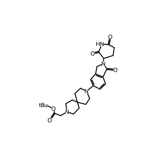 CC(C)(C)OC(=O)CN1CCC2(CC1)CCN(c1ccc3c(c1)CN(C1CCC(=O)NC1=O)C3=O)CC2